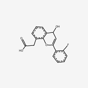 O=C(O)Cc1cccc2c1OC(c1ccccc1F)=CC2O